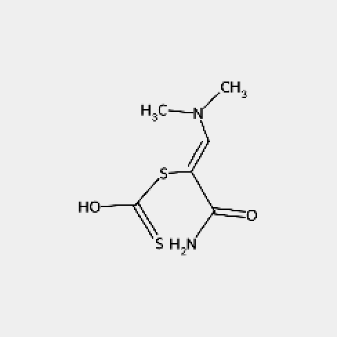 CN(C)C=C(SC(O)=S)C(N)=O